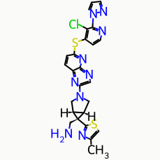 Cc1csc([C@]2(CN)[C@@H]3CN(c4cnc5nc(Sc6ccnc(-n7cccn7)c6Cl)ccc5n4)C[C@@H]32)n1